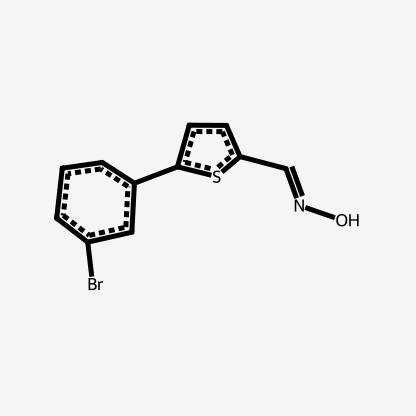 ON=Cc1ccc(-c2cccc(Br)c2)s1